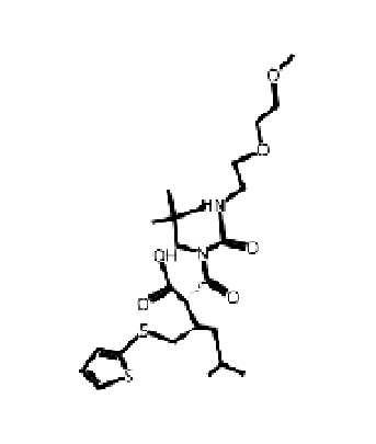 COCCOCCNC(=O)N(CC(C)(C)C)C(=O)[C@@H](C(=O)O)[C@H](CSc1cccs1)CC(C)C